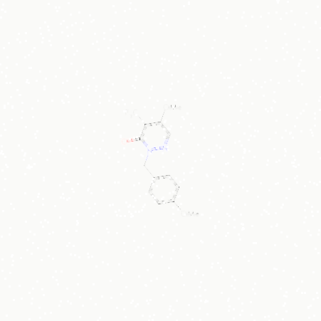 COc1ccc(Cn2ncc(OC)c(C(F)(F)F)c2=O)cc1